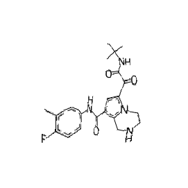 Cc1cc(NC(=O)c2cc(C(=O)C(=O)NC(C)(C)C)n3c2CNCC3)ccc1F